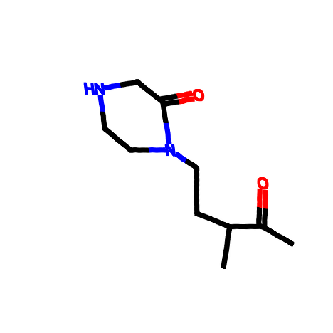 CC(=O)C(C)CCN1CCNCC1=O